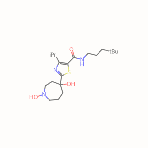 CC(C)c1nc(C2(O)CCCN(O)CC2)sc1C(=O)NCCCC(C)(C)C